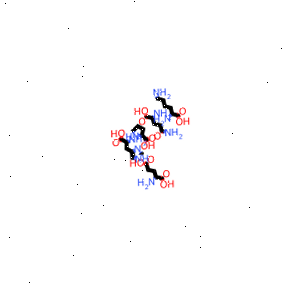 NC(=O)CCC(N)C(=O)O.NC(CCC(=O)O)C(=O)O.NC(Cc1c[nH]cn1)C(=O)O.NCCCCC(N)C(=O)O.O=C(O)C1CCCN1